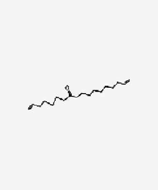 C=CCCCCCCCCC(=O)CCCCCC=C